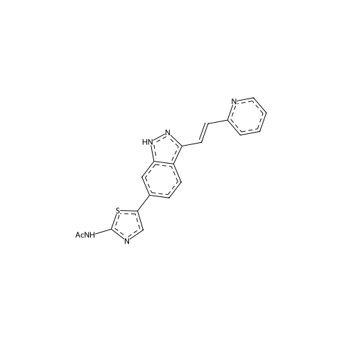 CC(=O)Nc1ncc(-c2ccc3c(/C=C/c4ccccn4)n[nH]c3c2)s1